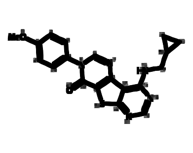 COc1ccc(-n2cnc3c(sc4ncnc(NCC5CC5)c43)c2=O)cc1